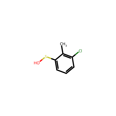 Cc1c(Cl)cccc1SO